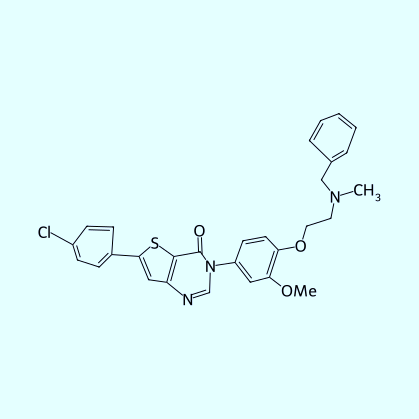 COc1cc(-n2cnc3cc(-c4ccc(Cl)cc4)sc3c2=O)ccc1OCCN(C)Cc1ccccc1